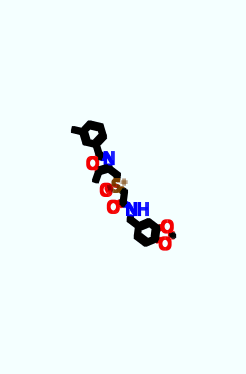 Cc1cccc(-c2nc(C[S+]([O-])CC(=O)NCc3ccc4c(c3)OCO4)c(C)o2)c1